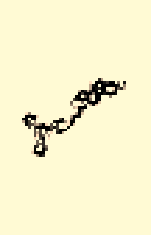 C[C@]12CCC(=O)C=C1CC[C@@H]1C2=CC[C@]2(CC(=O)CCCN3CCN(c4cc(N5CCCC5)nc(N5CCCC5)n4)CC3)CCC[C@@H]12